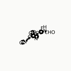 O=CNc1ccc(Oc2ccnc3cc(OCCCN4CCOCC4)c4c(c23)OCCO4)cc1F